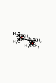 C=CC(=O)OCC(COC(=O)C=C)(COC(=O)C=C)COC(=O)CCCCCCCCC(=O)OCC(COC(=O)C=C)(COC(=O)C=C)COC(=O)C=C